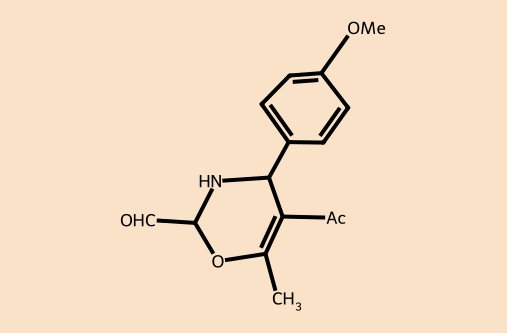 COc1ccc(C2NC(C=O)OC(C)=C2C(C)=O)cc1